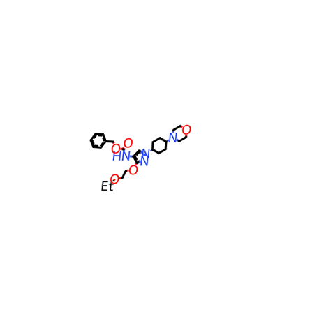 CCOCCOc1nn([C@H]2CC[C@H](N3CCOCC3)CC2)cc1NC(=O)OCc1ccccc1